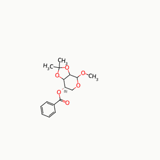 COC1OC[C@H](OC(=O)c2ccccc2)C2OC(C)(C)OC12